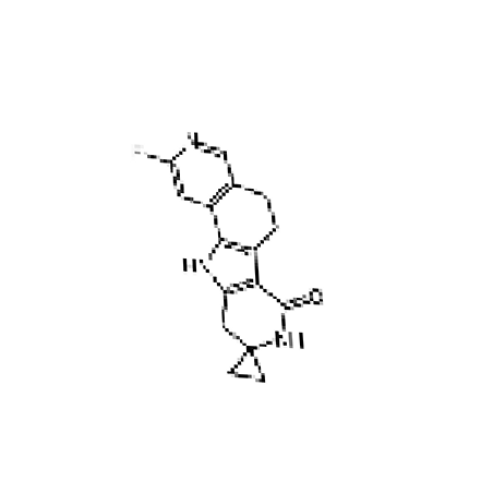 O=C1NC2(CC2)Cc2[nH]c3c(c21)CCc1cnc(F)cc1-3